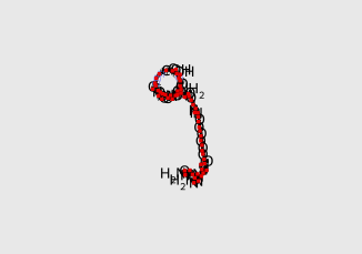 CO[C@H]1C[C@@H]2CC[C@@H](C)[C@@](O)(O2)C(=O)C(=O)N2CCCC[C@H]2C(=O)O[C@H]([C@H](N)C[C@@H]2CC[C@@H](OCCCCc3cn(CCOCCOCCOCCOCCOCCOCCC(=O)N4CCc5cc(Cn6nc(-c7ccc8oc(N)nc8c7)c7c(N)ncnc76)ccc5C4)nn3)[C@H](OC)C2)CC(=O)[C@H](C)/C=C(\C)[C@@H](O)[C@@H](O)C(=O)[C@H](C)C[C@H](C)/C=C/C=C/C=C/1C